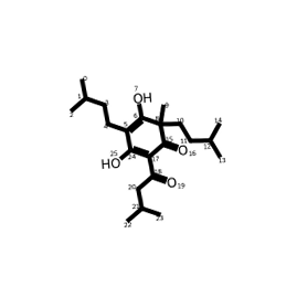 CC(C)CCC1=C(O)C(C)(CCC(C)C)C(=O)C(C(=O)CC(C)C)=C1O